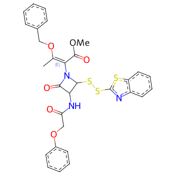 COC(=O)/C(=C(/C)OCc1ccccc1)N1C(=O)C(NC(=O)COc2ccccc2)C1SSc1nc2ccccc2s1